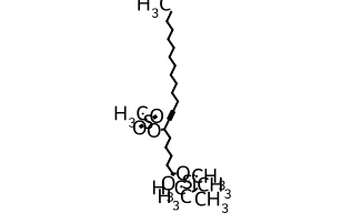 CCCCCCCCCCCCC#CC(CCCCC(=O)O[Si](C)(C)C(C)(C)C)OS(C)(=O)=O